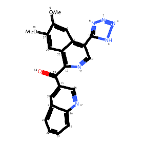 COc1cc2c(-c3nnn[nH]3)cnc(C(=O)c3cnc4ccccc4c3)c2cc1OC